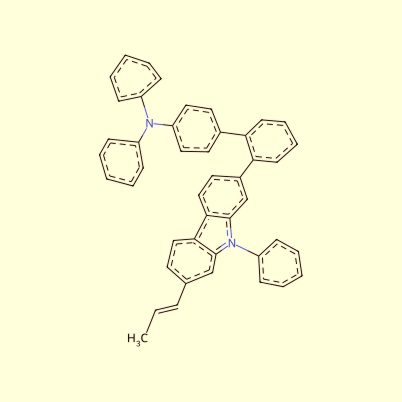 C/C=C/c1ccc2c3ccc(-c4ccccc4-c4ccc(N(c5ccccc5)c5ccccc5)cc4)cc3n(-c3ccccc3)c2c1